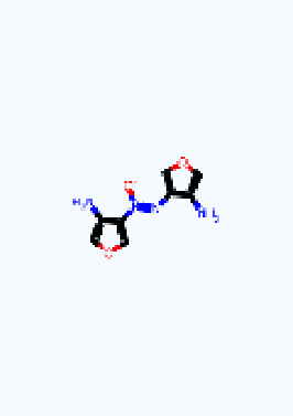 Nc1cocc1N=[N+]([O-])c1cocc1N